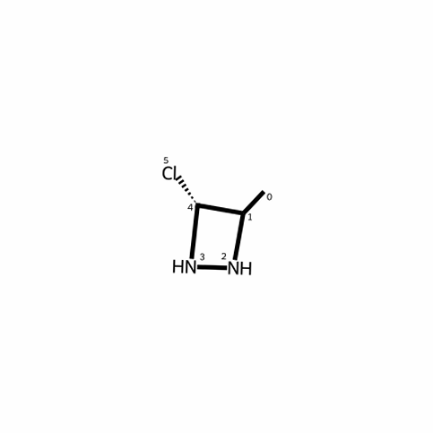 CC1NN[C@@H]1Cl